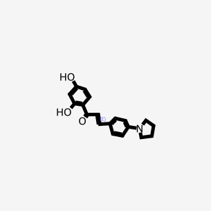 O=C(/C=C/c1ccc(N2CCCC2)cc1)c1ccc(O)cc1O